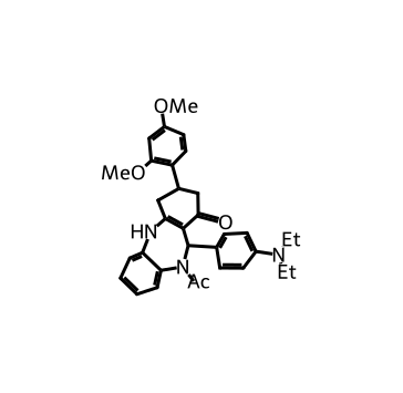 CCN(CC)c1ccc(C2C3=C(CC(c4ccc(OC)cc4OC)CC3=O)Nc3ccccc3N2C(C)=O)cc1